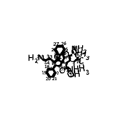 CC(C)C[C@@H](C(=O)NN)[C@H](C(=O)NO)C(CCc1ccccc1)(Cc1ccccc1)C(=O)CCCN